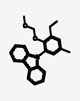 CCc1cc(C)cc(-n2c3ccccc3c3ccccc32)c1OCOC